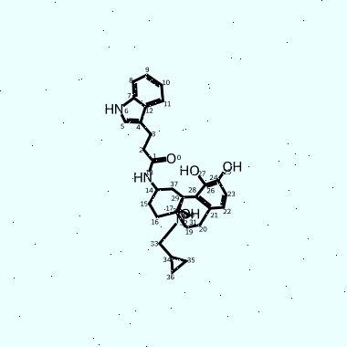 O=C(CCc1c[nH]c2ccccc12)NC1CCC2(O)C3Cc4ccc(O)c(O)c4C2(CCN3CC2CC2)C1